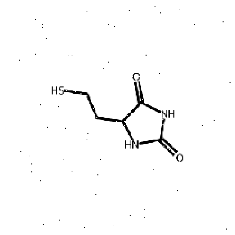 O=C1NC(=O)C(CCS)N1